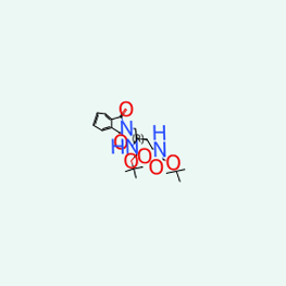 CC(C)(C)OC(=O)NCC[C@H](CN1C(=O)c2ccccc2C1=O)NC(=O)OC(C)(C)C